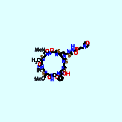 CNC(=O)C[C@@H]1N=NC(=O)c2csc(n2)-c2ccc(-c3nc(NC(=O)OCCCN4CCOCC4)cs3)nc2-c2csc(n2)-c2csc(n2)[C@H]([C@@H](O)c2ccccc2)NC(=O)CNC(=O)c2nc(sc2COC)[C@H](C(C)C)NC(=O)c2nc1sc2C